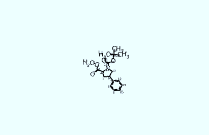 COC(=O)C1CC(c2ccccc2)CN1C(=O)OC(C)(C)C